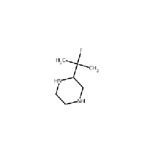 CC(C)(F)C1CNCCN1